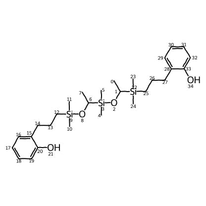 CC(O[Si](C)(C)C(C)O[Si](C)(C)CCCc1ccccc1O)[Si](C)(C)CCCc1ccccc1O